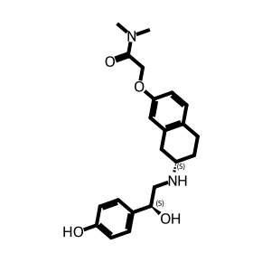 CN(C)C(=O)COc1ccc2c(c1)C[C@@H](NC[C@@H](O)c1ccc(O)cc1)CC2